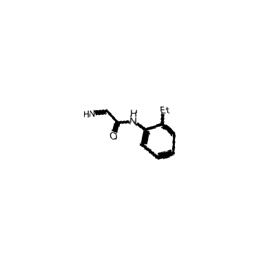 CCc1ccccc1NC(=O)C=N